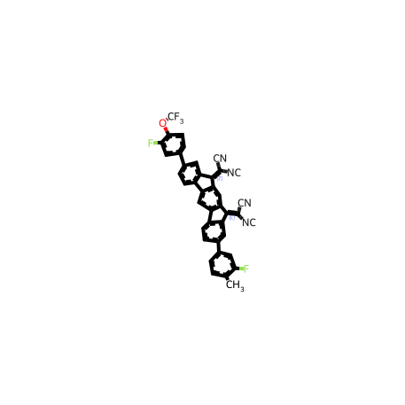 [C-]#[N+]/C(C#N)=C1/c2cc(-c3ccc(OC(F)(F)F)c(F)c3)ccc2-c2cc3c(cc21)/C(=C(\C#N)[N+]#[C-])c1cc(-c2ccc(C)c(F)c2)ccc1-3